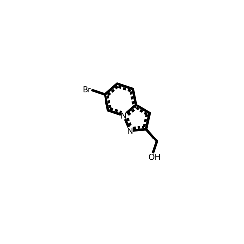 OCc1cc2ccc(Br)cn2n1